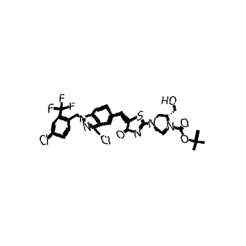 CC(C)(C)OC(=O)N1CCN(C2=NC(=O)C(=Cc3ccc4c(c3)c(Cl)nn4Cc3ccc(Cl)cc3C(F)(F)F)S2)C[C@@H]1CO